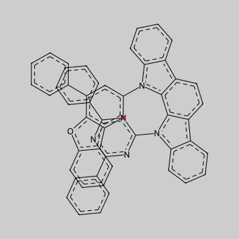 c1ccc(-c2nc(-c3ccccc3)nc(-n3c4ccccc4c4ccc5c6ccccc6n(-c6cc(-c7ccccc7)c7oc8ccccc8c7c6)c5c43)n2)cc1